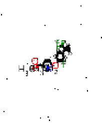 C=C(/C=C\C(=N/C)Oc1ccc(C2(C(F)(F)F)CC2)cc1F)C(=O)OC